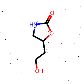 O=C1NCC(CCO)O1